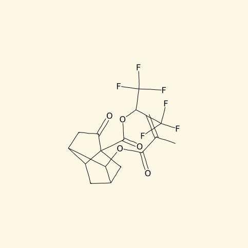 C=C(C)C(=O)OC1C2CC3C1CC(=O)C3(C(=O)OC(C(F)(F)F)C(F)(F)F)C2